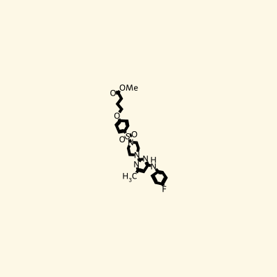 COC(=O)CCCOc1ccc(S(=O)(=O)N2CCN(c3nc(C)cc(Nc4ccc(F)cc4)n3)CC2)cc1